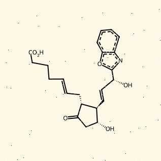 O=C(O)CCCC=CC[C@H]1C(=O)C[C@@H](O)[C@@H]1C=C[C@@H](O)c1nc2ccccc2o1